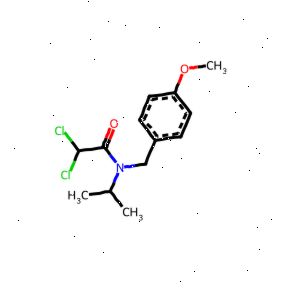 COc1ccc(CN(C(=O)C(Cl)Cl)C(C)C)cc1